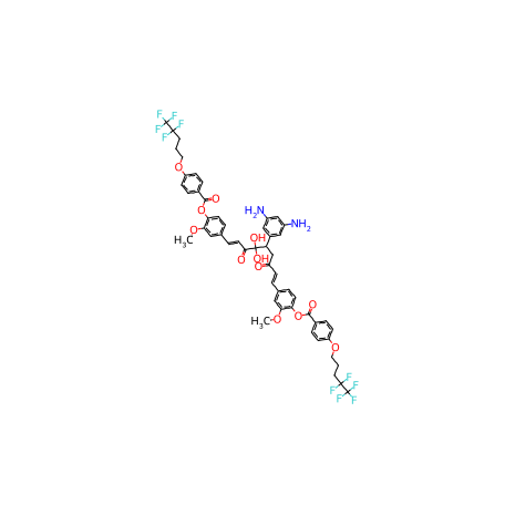 COc1cc(/C=C/C(=O)CC(c2cc(N)cc(N)c2)C(O)(O)C(=O)/C=C/c2ccc(OC(=O)c3ccc(OCCCC(F)(F)C(F)(F)F)cc3)c(OC)c2)ccc1OC(=O)c1ccc(OCCCC(F)(F)C(F)(F)F)cc1